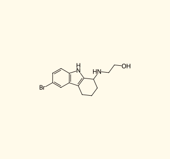 OCCNC1CCCc2c1[nH]c1ccc(Br)cc21